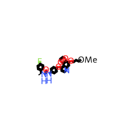 COCCCOc1cc2nccc(Oc3ccc(NC(=O)N[C@@H](C)c4ccc(F)cc4)cc3)c2c2c1OCCO2